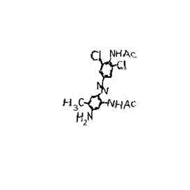 CC(=O)Nc1cc(N)c(C)cc1N=Nc1cc(Cl)c(NC(C)=O)c(Cl)c1